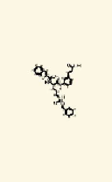 O=C(O)/C=C/c1cccc(NC(=O)[C@H](CCCNC(=O)OCc2ccccc2)NC(=O)c2cc3ccccc3o2)c1